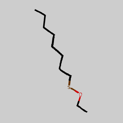 CCCCCCCCSOCC